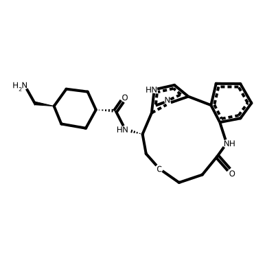 NC[C@H]1CC[C@H](C(=O)N[C@H]2CCCCC(=O)Nc3ccccc3-c3c[nH]c2n3)CC1